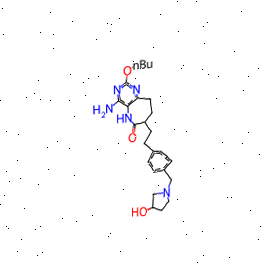 CCCCOc1nc(N)c2c(n1)CCC(CCc1ccc(CN3CC[C@@H](O)C3)cc1)C(=O)N2